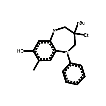 CCCCC1(CC)CSc2cc(O)c(C)cc2N(c2ccccc2)C1